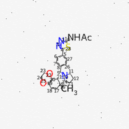 CC(=O)Nc1nnc(-c2ccc(CN3CCC[C@@H]3C3(C)C=CC4=C(C3)OCCO4)cc2)s1